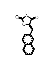 O=C1NC(=O)/C(=C/c2ccc3ccccc3c2)O1